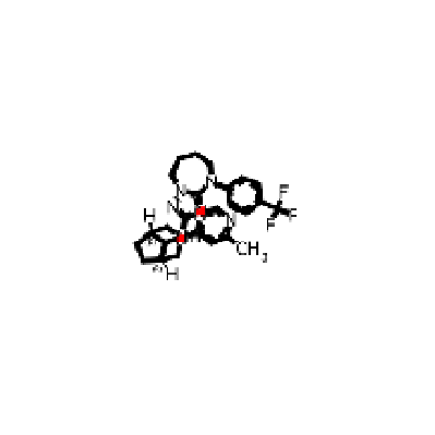 Cc1cc(N2C[C@H]3CC[C@H](C2)C3Nc2nc3n(n2)CCCCN3c2ccc(C(F)(F)F)cc2)ncn1